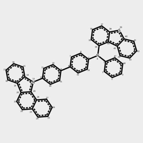 c1ccc(N(c2ccc(-c3ccc(-n4c5ccccc5c5ccc6ccccc6c54)cc3)cc2)c2cccc3sc4ccccc4c23)cc1